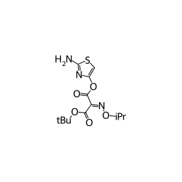 CC(C)ON=C(C(=O)Oc1csc(N)n1)C(=O)OC(C)(C)C